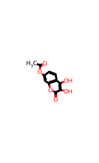 CC(=O)Oc1ccc2c(O)c(O)c(=O)oc2c1